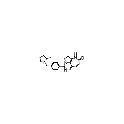 CC1CCCN1Cc1ccc(C2=NC=C3C=CC(=O)NC4=C3N2CC4)cc1